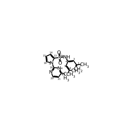 C=C(C)/C=C(\C=C(C)C)NS(=O)(=O)c1cccn1-c1nccc(C)n1